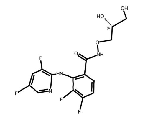 O=C(NOC[C@H](O)CO)c1ccc(F)c(F)c1Nc1ncc(F)cc1F